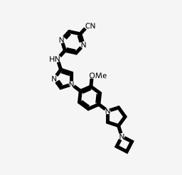 COc1cc(N2CCC(N3CCC3)C2)ccc1-n1cnc(Nc2cnc(C#N)cn2)c1